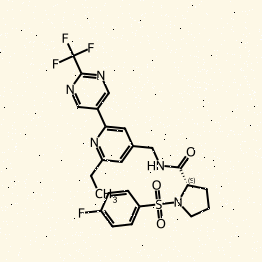 CCc1cc(CNC(=O)[C@@H]2CCCN2S(=O)(=O)c2ccc(F)cc2)cc(-c2cnc(C(F)(F)F)nc2)n1